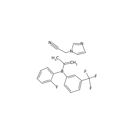 C=C(C)B(c1cccc(C(F)(F)F)c1)c1ccccc1F.N#CCn1ccnc1